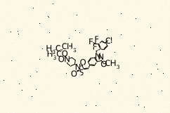 COc1nn(Cc2ccc(Cl)cc2C(F)(F)F)c2ccc(C=C3SC(=O)N(C4CCN(C(=O)OC(C)(C)C)CC4)C3=O)cc12